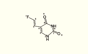 O=c1[nH]cc(C=CF)c(=O)[nH]1